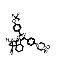 N#CC1(C2(C(N)=O)CCCCC2c2oc(-c3ccc(OC(F)(F)F)cc3)nc2-c2ccc(N3CCS(=O)(=O)CC3)cc2)CC1